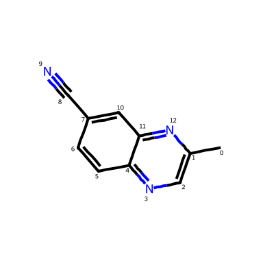 Cc1cnc2ccc(C#N)cc2n1